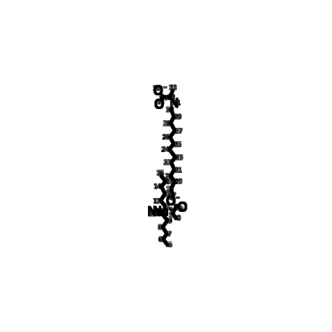 CCC(=O)[O-].CCCCCCCCCCCC.CCCCCCCCCCCCCCN=C(C)C(=O)[O-].[Na+].[Na+]